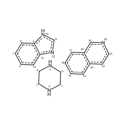 C1CNCCN1.c1ccc2[nH]cnc2c1.c1ccc2cnccc2c1